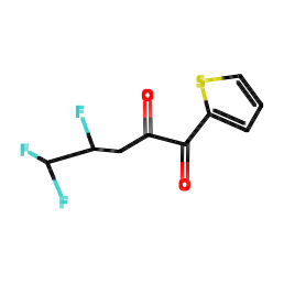 O=C(CC(F)C(F)F)C(=O)c1cccs1